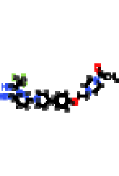 CC(=O)N1CCN(CCOc2ccc(C3CCN(C4=NN(C(=N)C(F)(F)F)C(=N)CC4)CC3)cc2)CC1